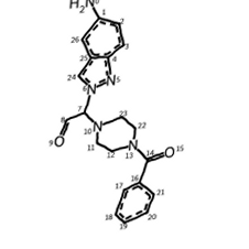 Nc1ccc2nn(C(C=O)N3CCN(C(=O)c4ccccc4)CC3)cc2c1